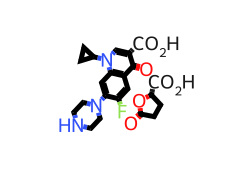 O=C(O)c1cn(C2CC2)c2cc(N3CCNCC3)c(F)cc2c1=O.O=C1CCC(C(=O)O)O1